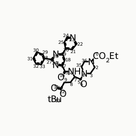 CCOC(=O)N1CCN(C(=O)C(CCC(=O)OC(C)(C)C)NC(=O)c2cc(-c3ccncc3)nc(-c3ccccc3)n2)CC1